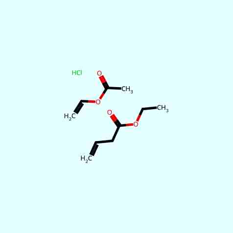 C=CCC(=O)OCC.C=COC(C)=O.Cl